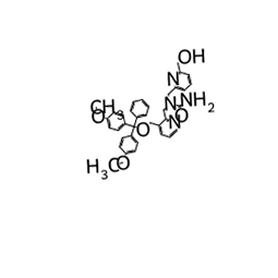 COc1ccc(C(OCc2cccnc2CN(Cc2cccc(CO)n2)C(N)=O)(c2ccccc2)c2ccc(OC)cc2)cc1